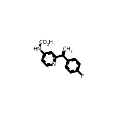 C=C(c1ccc(F)cc1)c1cc(NC(=O)O)ccn1